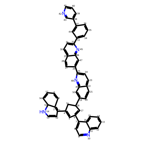 C1=CC2=C(C3=CC(c4ccnc5ccccc45)=CC(c4ccc5ccc(-c6ccc7ccc(-c8cccc(-c9cccnc9)c8)nc7c6)nc5c4)C3)C=CNC2C=C1